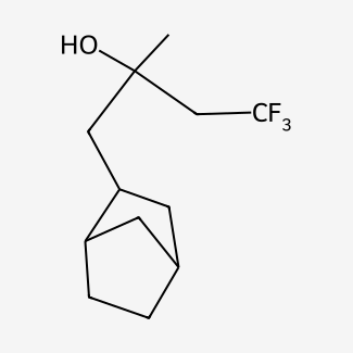 CC(O)(CC1CC2CCC1C2)CC(F)(F)F